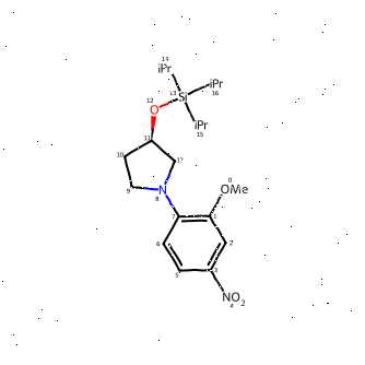 COc1cc([N+](=O)[O-])ccc1N1CC[C@@H](O[Si](C(C)C)(C(C)C)C(C)C)C1